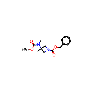 CN(C(=O)OC(C)(C)C)C1(C)CN(C(=O)OCc2ccccc2)C1